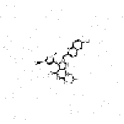 CC(C)Cn1c(=O)nc(N)c2c(-c3cc(C#N)cn3C)n(Cc3ccc4cc(Cl)ccc4n3)nc21